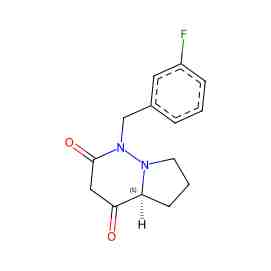 O=C1CC(=O)N(Cc2cccc(F)c2)N2CCC[C@@H]12